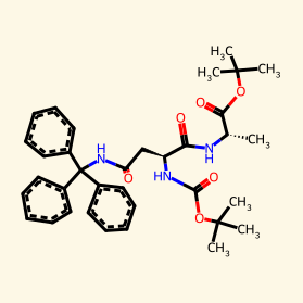 C[C@H](NC(=O)[C@H](CC(=O)NC(c1ccccc1)(c1ccccc1)c1ccccc1)NC(=O)OC(C)(C)C)C(=O)OC(C)(C)C